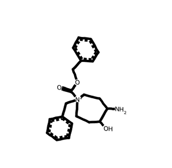 NC1CC[N+](Cc2ccccc2)(C(=O)OCc2ccccc2)CCC1O